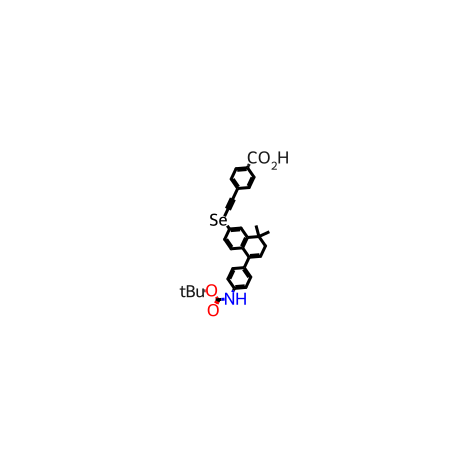 CC(C)(C)OC(=O)Nc1ccc(C2=CCC(C)(C)c3cc([Se]C#Cc4ccc(C(=O)O)cc4)ccc32)cc1